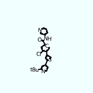 CC(C)(C)c1cc(-c2cc(-c3ccc(C(=O)Nc4cccnc4)cc3Cl)cs2)ccn1